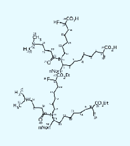 CCCCCCCCCC(CCCCCCC(F)C(=O)O)N(CCCCCC(F)C(=O)O)C(=O)CCCN(C)C.CCCCCCCCCC(CCCCCCC(F)C(=O)OCC)N(CCCCCC(F)C(=O)OCC)C(=O)CCCN(C)C